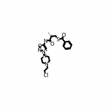 C[C@H](CSC(=O)c1ccccc1)C(=O)[N-]c1c[n+](N2CCN(CCCl)CC2)no1